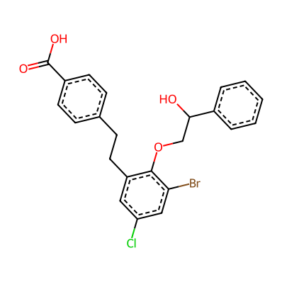 O=C(O)c1ccc(CCc2cc(Cl)cc(Br)c2OCC(O)c2ccccc2)cc1